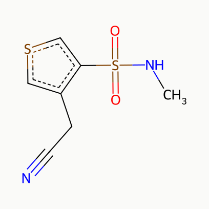 CNS(=O)(=O)c1cscc1CC#N